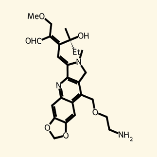 CC[C@](C)(O)C(/C=C1/c2nc3cc4c(cc3c(COCCN)c2CN1C)OCO4)=C(/C=O)COC